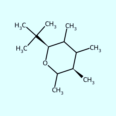 CC1O[C@@H](C(C)(C)C)C(C)C(C)[C@H]1C